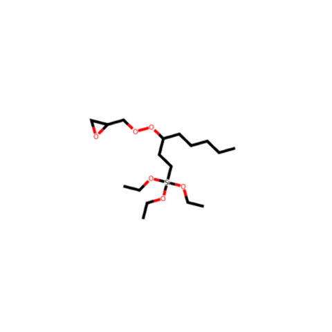 CCCCCC(CC[Si](OCC)(OCC)OCC)OOCC1CO1